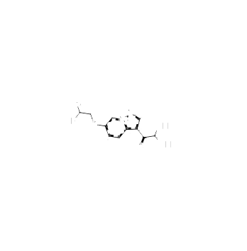 CC(C)C(=O)c1cnn2cc(OCC(F)F)ccc12